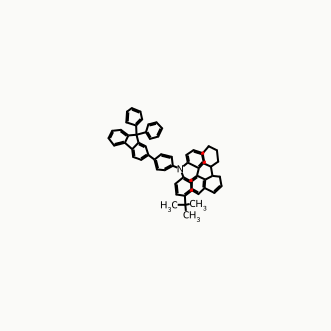 CC(C)(C)c1ccc(N(c2ccc(-c3ccc4c(c3)C(c3ccccc3)(c3ccccc3)c3ccccc3-4)cc2)c2ccccc2-c2cccc3c2C(C2CCCCC2)CC=C3)cc1